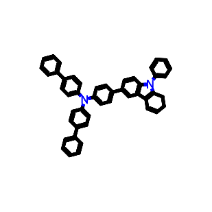 C1=Cc2c(n(-c3ccccc3)c3ccc(-c4ccc(N(c5ccc(-c6ccccc6)cc5)c5ccc(-c6ccccc6)cc5)cc4)cc23)CC1